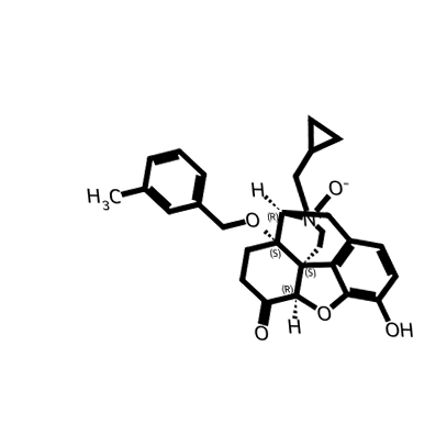 Cc1cccc(CO[C@@]23CCC(=O)[C@@H]4Oc5c(O)ccc6c5[C@@]42CC[N+]([O-])(CC2CC2)[C@@H]3C6)c1